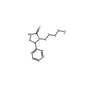 O=C1NCC(c2ccccc2)N1CCCCCl